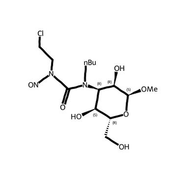 CCCCN(C(=O)N(CCCl)N=O)[C@H]1[C@@H](O)[C@@H](OC)O[C@H](CO)[C@H]1O